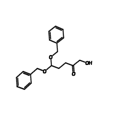 O=C(CO)CCC(OCc1ccccc1)OCc1ccccc1